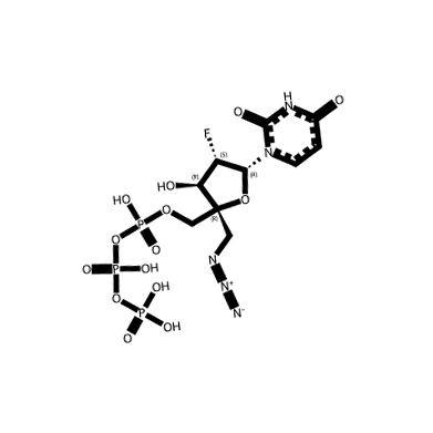 [N-]=[N+]=NC[C@]1(COP(=O)(O)OP(=O)(O)OP(=O)(O)O)O[C@@H](n2ccc(=O)[nH]c2=O)[C@@H](F)[C@@H]1O